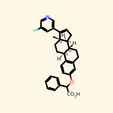 C[C@]12CC[C@@H]3c4ccc(OC(C(=O)O)c5ccccc5)cc4CC[C@H]3[C@@H]1CC=C2c1cncc(F)c1